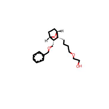 OCCOCCCC[C@@H]1[C@H](COCc2ccccc2)[C@@H]2CC[C@H]1O2